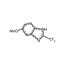 COc1ccc2[nH]c(C(F)(F)F)nc2c1